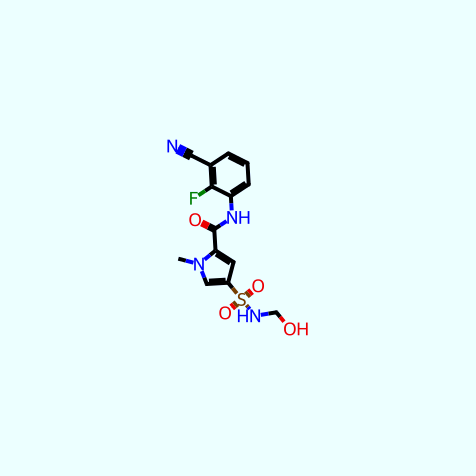 Cn1cc(S(=O)(=O)NCO)cc1C(=O)Nc1cccc(C#N)c1F